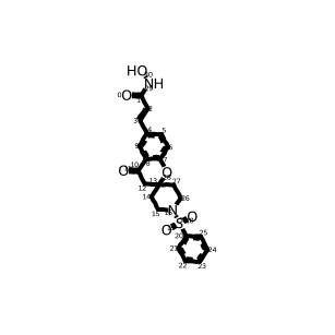 O=C(C=Cc1ccc2c(c1)C(=O)CC1(CCN(S(=O)(=O)c3ccccc3)CC1)O2)NO